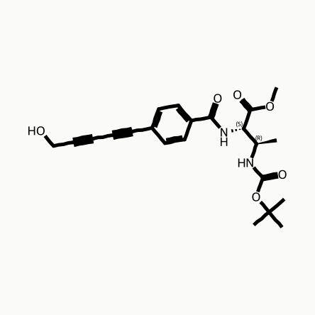 COC(=O)[C@@H](NC(=O)c1ccc(C#CC#CCO)cc1)[C@@H](C)NC(=O)OC(C)(C)C